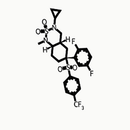 CN1[C@H]2CC[C@@](c3cc(F)ccc3F)(S(=O)(=O)c3ccc(C(F)(F)F)cc3)C[C@H]2CN(C2CC2)S1(=O)=O